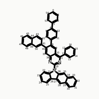 c1ccc(-c2ccc(-c3cc4c(-c5ccccc5)nc(-n5c6ccccc6c6cc7ccccc7cc65)nc4cc3-c3ccc4ccccc4c3)cc2)cc1